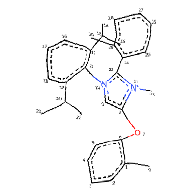 Cc1ccccc1Oc1cn(-c2c(C(C)C)cccc2C(C)C)c(-c2ccccc2C)[n+]1C